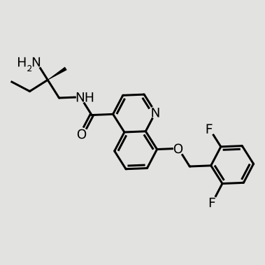 CC[C@](C)(N)CNC(=O)c1ccnc2c(OCc3c(F)cccc3F)cccc12